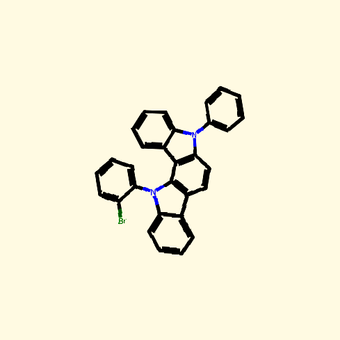 Brc1ccccc1-n1c2ccccc2c2ccc3c(c4ccccc4n3-c3ccccc3)c21